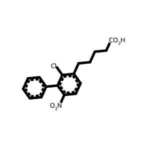 O=C(O)CCCCc1ccc([N+](=O)[O-])c(-c2ccccc2)c1Cl